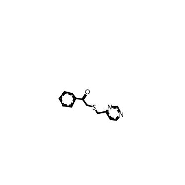 O=C(CSCc1ccncn1)c1ccccc1